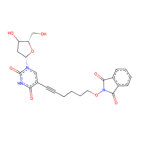 O=C1c2ccccc2C(=O)N1OCCCCC#Cc1cn([C@@H]2CC(O)[C@H](CO)O2)c(=O)[nH]c1=O